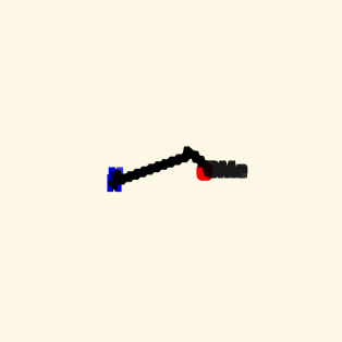 COC(=O)CCCCCC1CC1CCCCCCCCCCCCCCCCCCCC(N(C)C)N(C)C